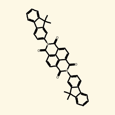 CC1(C)c2ccccc2-c2ccc(N3C(=O)c4ccc5c6c(ccc(c46)C3=O)C(=O)N(c3ccc4c(c3)C(C)(C)c3ccccc3-4)C5=O)cc21